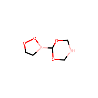 B1COC(B2CCOO2)OC1